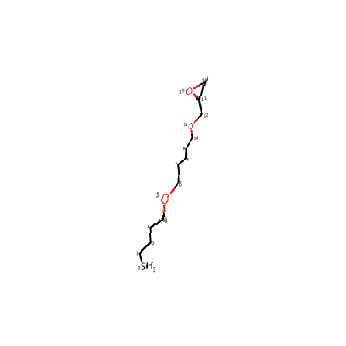 [SiH3]CCCCOCCCCCOCC1CO1